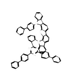 c1ccc(-c2ccc(-c3nc(-c4ccc(-c5ccccc5)cc4)nc(-c4ccccc4-n4c5ccccc5c5ccc6c7ccc8c9ccccc9n(-c9ccc(-c%10ccccc%10)cc9)c8c7sc6c54)n3)cc2)cc1